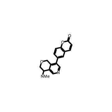 CNC1COCc2c(-c3ccc4oc(=O)ccc4c3)cncc21